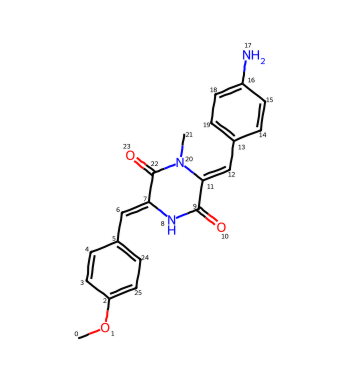 COc1ccc(C=c2[nH]c(=O)c(=Cc3ccc(N)cc3)n(C)c2=O)cc1